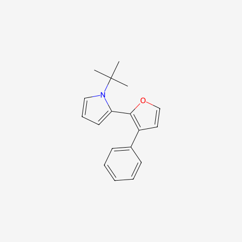 CC(C)(C)n1cccc1-c1occc1-c1ccccc1